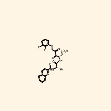 CC(C)[C@H](NC(=O)c1ccc2ccccc2n1)C(=O)N[C@@H](CC(=O)O)C(=O)C(=O)COc1cccc(F)c1F